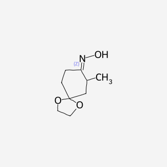 CC1CC2(CC/C1=N/O)OCCO2